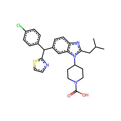 CC(C)Cc1nc2ccc(C(c3ccc(Cl)cc3)c3nccs3)cc2n1C1CCN(C(=O)O)CC1